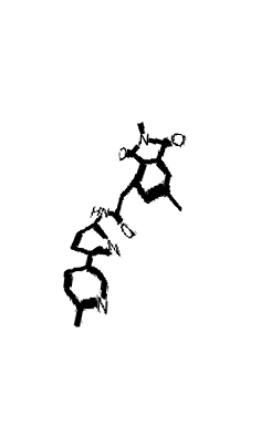 Cc1cc(CC(=O)Nc2ccc(-c3ccc(C)nc3)cn2)c2c(c1)C(=O)N(C)C2=O